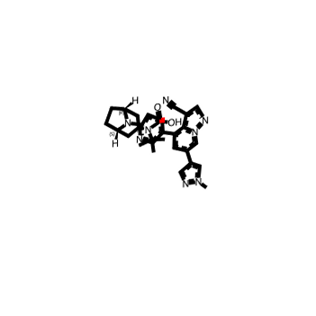 Cn1cc(-c2cc(-c3ccc(N4[C@@H]5CC[C@H]4C[C@@H](N(C(=O)O)C(C)(C)C)C5)nc3)c3c(C#N)cnn3c2)cn1